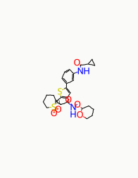 O=C(C[C@]1(c2ccc(-c3cccc(NC(=O)C4CC4)c3)s2)CCCCS1(=O)=O)NOC1CCCCO1